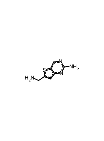 NCc1cc2nc(N)ncc2s1